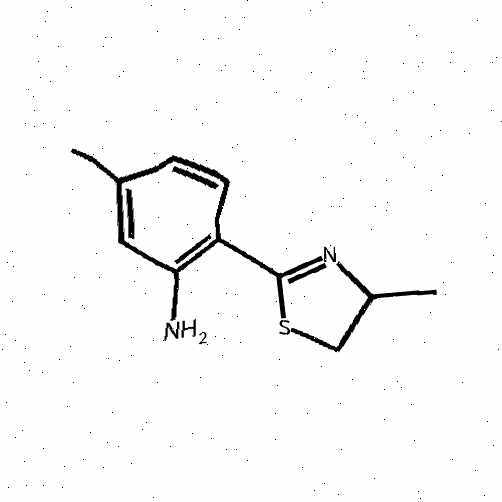 Cc1ccc(C2=NC(C)CS2)c(N)c1